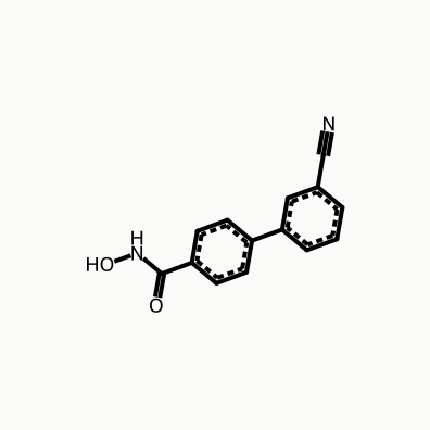 N#Cc1cccc(-c2ccc(C(=O)NO)cc2)c1